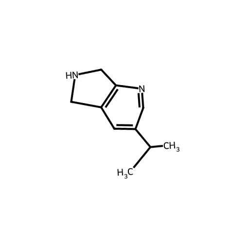 CC(C)c1cnc2c(c1)CNC2